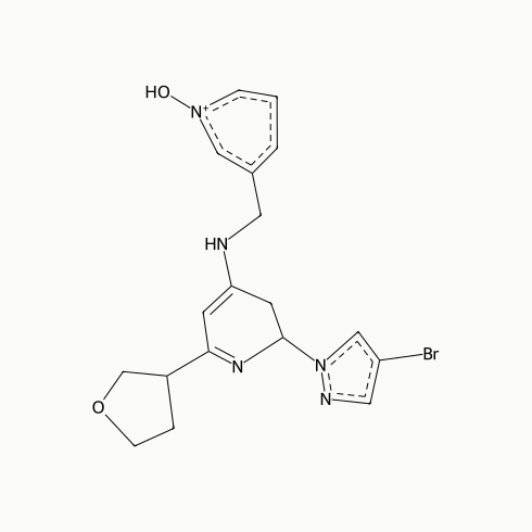 O[n+]1cccc(CNC2=CC(C3CCOC3)=NC(n3cc(Br)cn3)C2)c1